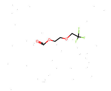 O=[C]OCCOCC(F)(F)F